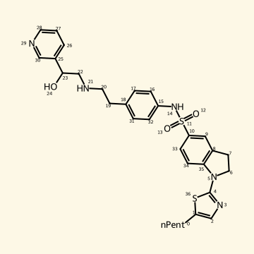 CCCCCc1cnc(N2CCc3cc(S(=O)(=O)Nc4ccc(CCNCC(O)c5cccnc5)cc4)ccc32)s1